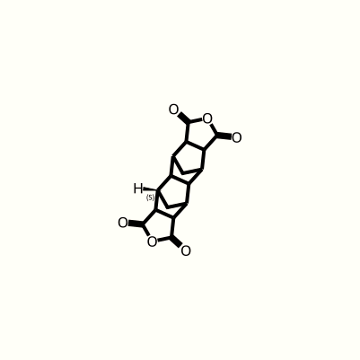 O=C1OC(=O)C2C3CC(C12)C1C2C[C@H](C4C(=O)OC(=O)C24)C31